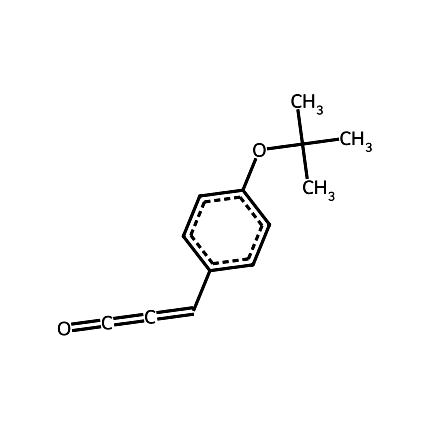 CC(C)(C)Oc1ccc(C=C=C=O)cc1